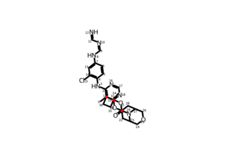 Cc1c(Nc2ccc(N/C=N\C=N)cc2Cl)ncnc1OC1CC2COCC(C1)N2C(=O)OC1(C)CCC1